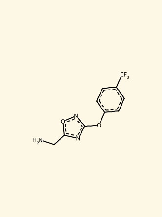 NCc1nc(Oc2ccc(C(F)(F)F)cc2)no1